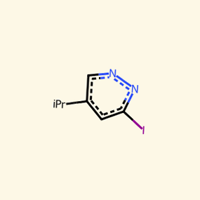 CC(C)c1cnnc(I)c1